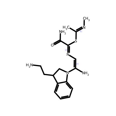 C/N=C(\C)S/C(=N\C=C(\N)N1CC(CCN)c2ccccc21)C(N)=O